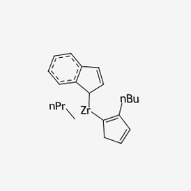 CCCC.CCCCC1=[C]([Zr][CH]2C=Cc3ccccc32)CC=C1